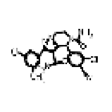 Cc1cc(Cl)cc(-c2nn3c(c2C(N)=O)C(c2ccc(C#N)c(Cl)c2)N(C(N)=O)CC3)c1